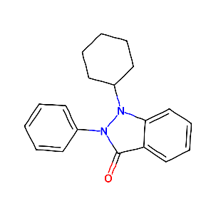 O=c1c2ccccc2n(C2CCCCC2)n1-c1ccccc1